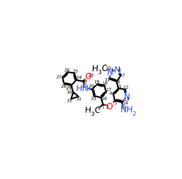 CC(Oc1cc(-c2cnn(C)c2)cnc1N)c1cccc(NC(=O)c2ccccc2C2CC2)c1